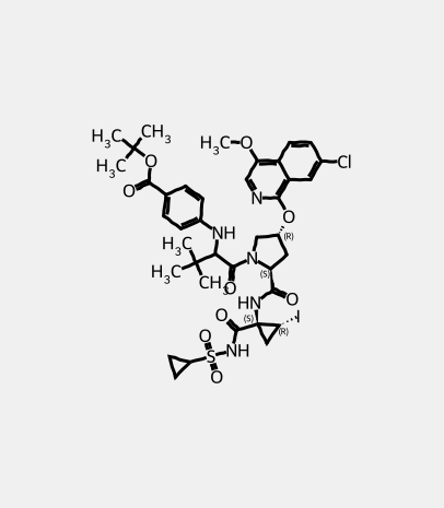 COc1cnc(O[C@@H]2C[C@@H](C(=O)N[C@]3(C(=O)NS(=O)(=O)C4CC4)C[C@H]3I)N(C(=O)C(Nc3ccc(C(=O)OC(C)(C)C)cc3)C(C)(C)C)C2)c2cc(Cl)ccc12